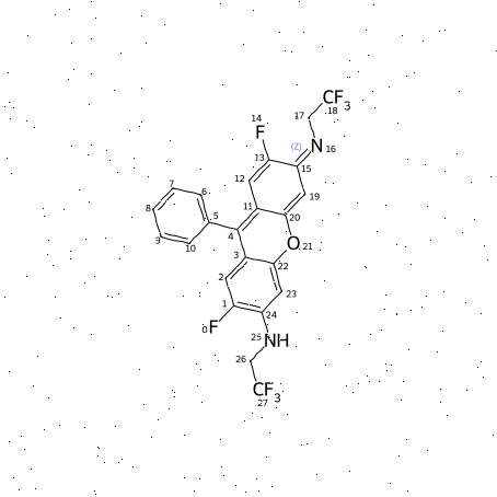 Fc1cc2c(-c3ccccc3)c3cc(F)/c(=N\CC(F)(F)F)cc-3oc2cc1NCC(F)(F)F